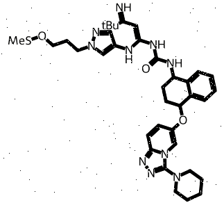 CSOCCCn1cc(N/C(=C\C(=N)C(C)(C)C)NC(=O)NC2CCC(Oc3ccc4nnc(N5CCCCC5)n4c3)c3ccccc32)cn1